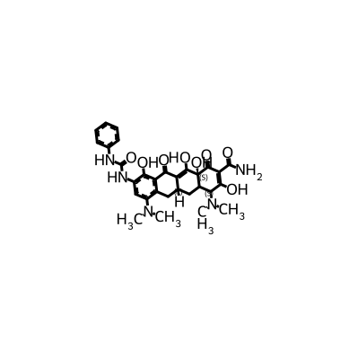 CN(C)c1cc(NC(=O)Nc2ccccc2)c(O)c2c1C[C@H]1CC3[C@H](N(C)C)C(O)=C(C(N)=O)C(=O)[C@@]3(O)C(O)=C1C2=O